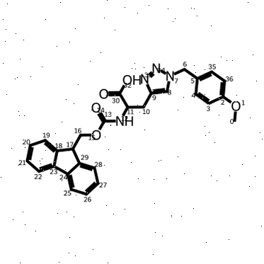 COc1ccc(Cn2cc(CC(NC(=O)OCC3c4ccccc4-c4ccccc43)C(=O)O)nn2)cc1